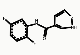 O=C(Nc1cc(F)ccc1F)C1=CNSC=C1